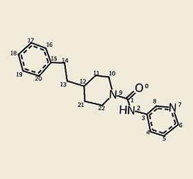 O=C(Nc1cccnc1)N1CCC(CCc2ccccc2)CC1